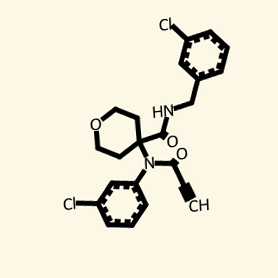 C#CC(=O)N(c1cccc(Cl)c1)C1(C(=O)NCc2cccc(Cl)c2)CCOCC1